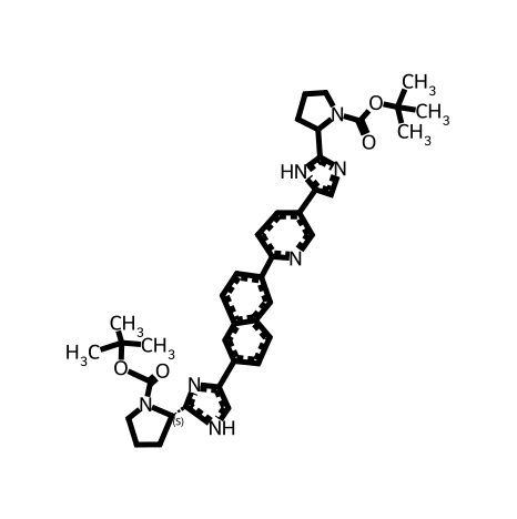 CC(C)(C)OC(=O)N1CCCC1c1ncc(-c2ccc(-c3ccc4cc(-c5c[nH]c([C@@H]6CCCN6C(=O)OC(C)(C)C)n5)ccc4c3)nc2)[nH]1